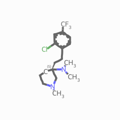 CN1CCC[C@](CCc2ccc(C(F)(F)F)cc2Cl)(N(C)C)C1